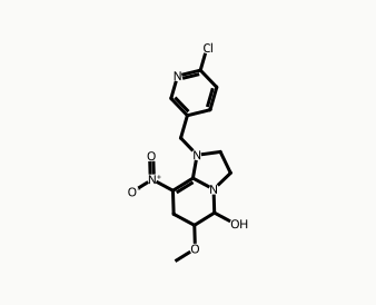 COC1CC([N+](=O)[O-])=C2N(Cc3ccc(Cl)nc3)CCN2C1O